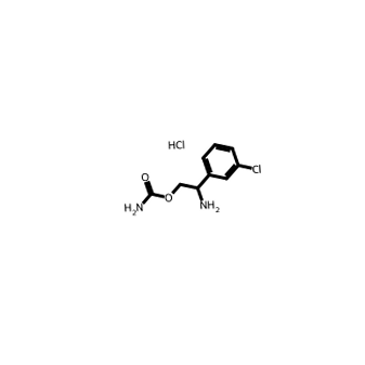 Cl.NC(=O)OCC(N)c1cccc(Cl)c1